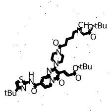 CN(CCCCC(=O)N1CCN(c2nc3cc(C(=O)Nc4nc(C(C)(C)C)cs4)ccn3c(=O)c2C=CC(=O)OC(C)(C)C)CC1)CC(=O)OC(C)(C)C